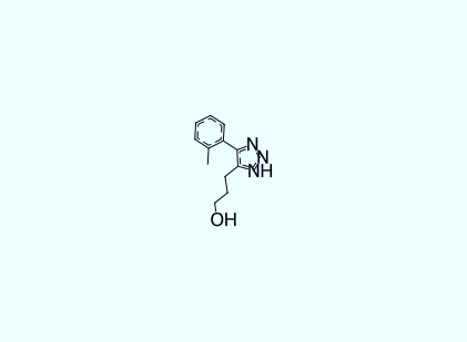 Cc1ccccc1-c1nn[nH]c1CCCO